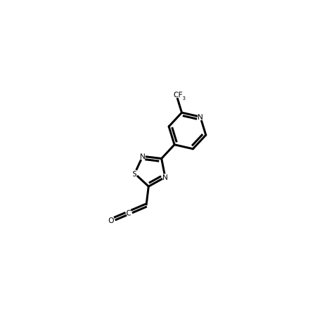 O=C=Cc1nc(-c2ccnc(C(F)(F)F)c2)ns1